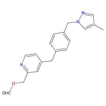 Cc1cnn(Cc2ccc(Cc3ccnc(COC=O)c3)cc2)c1